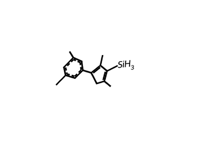 CC1=C([SiH3])C(C)=C(c2cc(C)cc(C)c2)C1